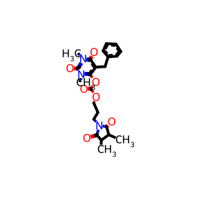 CC1C(=O)N(CCCOC(=O)Oc2c(Cc3ccccc3)c(=O)n(C)c(=O)n2C)C(=O)C1C